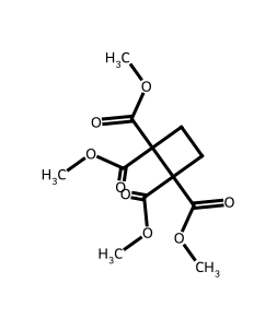 COC(=O)C1(C(=O)OC)CCC1(C(=O)OC)C(=O)OC